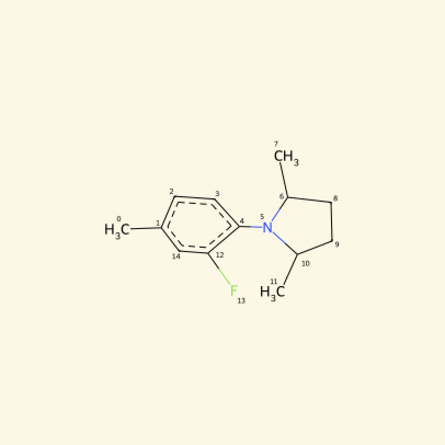 Cc1ccc(N2C(C)CCC2C)c(F)c1